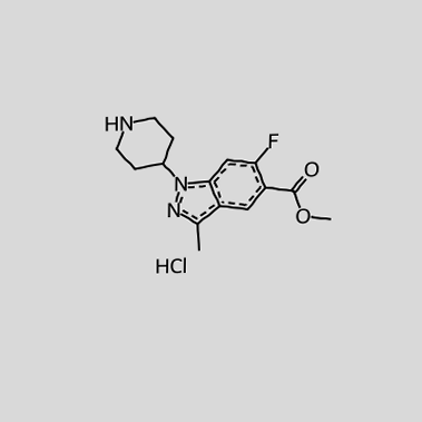 COC(=O)c1cc2c(C)nn(C3CCNCC3)c2cc1F.Cl